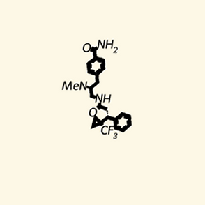 CN[C@H](CNC(=O)C[C@H](c1ccccc1)C1(C(F)(F)F)CC1)Cc1ccc(C(N)=O)cc1